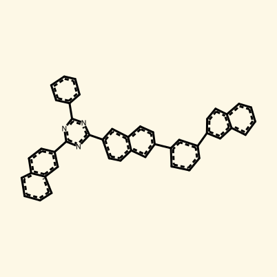 c1ccc(-c2nc(-c3ccc4ccccc4c3)nc(-c3ccc4cc(-c5cccc(-c6ccc7ccccc7c6)c5)ccc4c3)n2)cc1